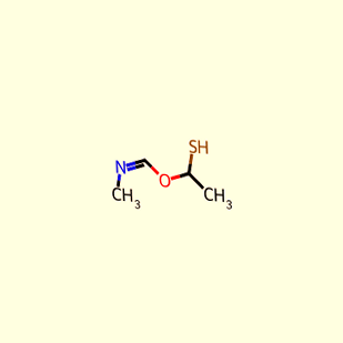 C/N=C\OC(C)S